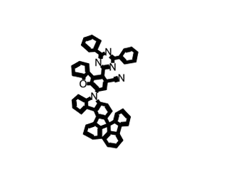 N#Cc1cc(-n2c3ccccc3c3c4c(ccc32)C2(c3ccccc3-c3ccccc32)c2ccccc2-4)c2oc3ccccc3c2c1-c1nc(-c2ccccc2)nc(-c2ccccc2)n1